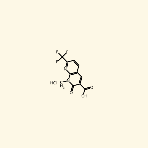 Cl.Cn1c(=O)c(C(=O)O)cc2ccc(C(F)(F)F)nc21